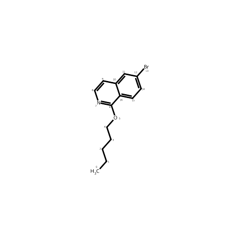 CCCCCOc1nccc2cc(Br)ccc12